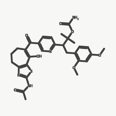 COc1ccc(CC(c2ccc(C(=O)C3=C(O)c4sc(NC(C)=O)nc4CCC3)cn2)C(C)(C)OC(N)=O)c(OC)c1